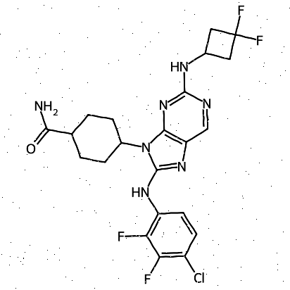 NC(=O)C1CCC(n2c(Nc3ccc(Cl)c(F)c3F)nc3cnc(NC4CC(F)(F)C4)nc32)CC1